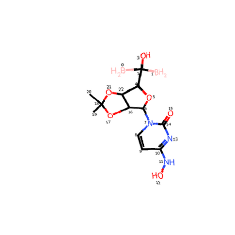 BC(B)(O)C1OC(n2ccc(NO)nc2=O)C2OC(C)(C)OC21